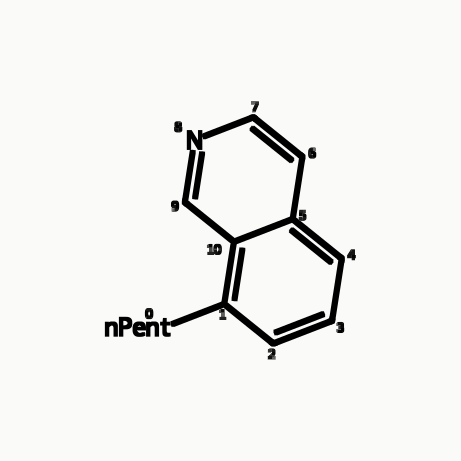 CCCCCc1cccc2ccncc12